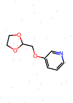 [c]1ccc(OCC2OCCO2)cn1